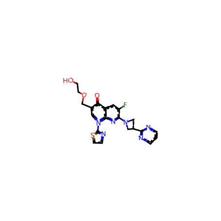 O=c1c(COCCO)cn(-c2nccs2)c2nc(N3CC(c4ncccn4)C3)c(F)cc12